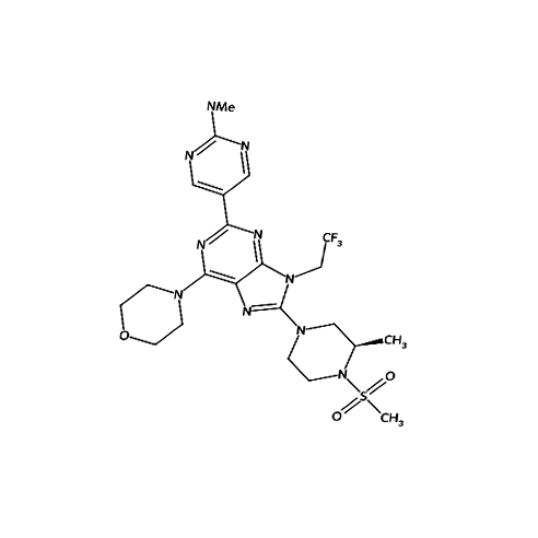 CNc1ncc(-c2nc(N3CCOCC3)c3nc(N4CCN(S(C)(=O)=O)[C@H](C)C4)n(CC(F)(F)F)c3n2)cn1